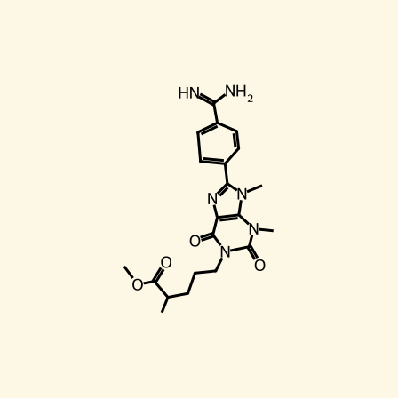 COC(=O)C(C)CCCn1c(=O)c2nc(-c3ccc(C(=N)N)cc3)n(C)c2n(C)c1=O